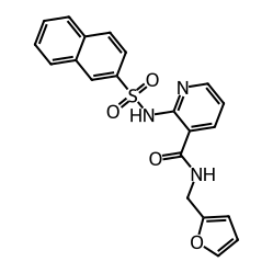 O=C(NCc1ccco1)c1cccnc1NS(=O)(=O)c1ccc2ccccc2c1